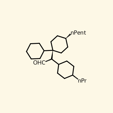 CCCCC[C@H]1CC[C@@](C2CCCCC2)(C(C=O)C2CCC(CCC)CC2)CC1